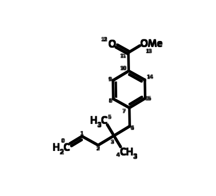 C=CCC(C)(C)Cc1ccc(C(=O)OC)cc1